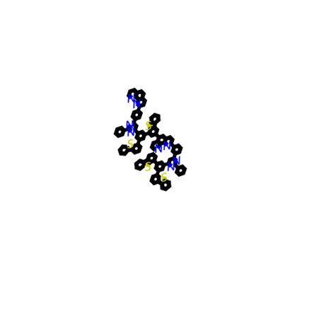 c1ccc(-c2nc(-c3cccc(-c4ccc5cc(-c6cc(-c7cc(-c8cc(-c9ccc(-c%10ccc%11ccc%12cccnc%12c%11n%10)cc9)nc(-c9ccccc9)n8)cc(-c8cccc9c8sc8ccccc89)c7)c7sc8ccccc8c7c6)c6cccnc6c5n4)c3)cc(-c3cc(-c4cccc5c4sc4ccccc45)cc(-c4cccc5c4sc4ccccc45)c3)n2)cc1